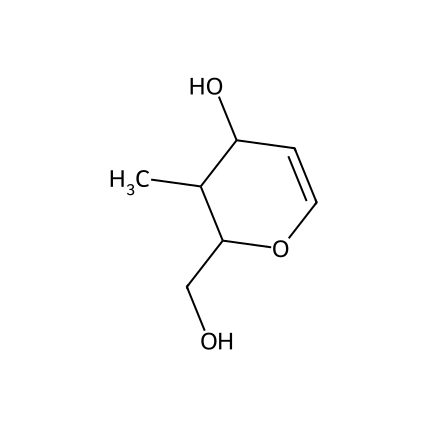 CC1C(O)C=COC1CO